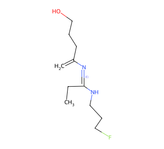 C=C(CCCO)/N=C(\CC)NCCCF